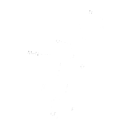 CNC1=C(c2ccc(C(F)(F)F)c(F)c2)C(=O)C(c2cccnc2)O1